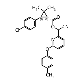 Cc1ccc(Oc2cccc(C(C#N)OC(=O)[C@@H]3[C@@H](c4ccc(Cl)cc4)C3(C)C)n2)cc1